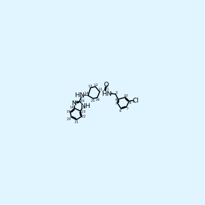 O=C(NCc1cccc(Cl)c1)[C@H]1CC[C@H](Nc2nc3ccccc3[nH]2)CC1